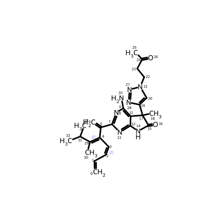 C=C/C=C\C(C(=C)c1nc(N)c2c(n1)NC(=O)C2(C)c1cn(CCC(C)=O)nn1)=C(/C)C(C)C